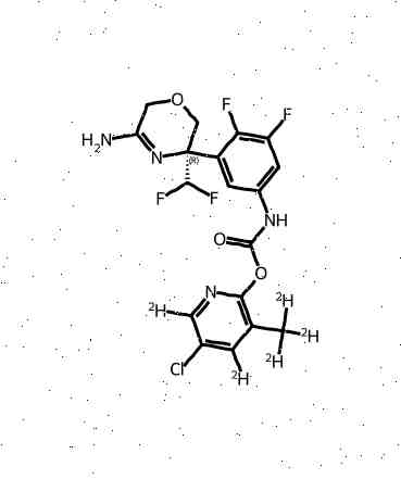 [2H]c1nc(OC(=O)Nc2cc(F)c(F)c([C@]3(C(F)F)COCC(N)=N3)c2)c(C([2H])([2H])[2H])c([2H])c1Cl